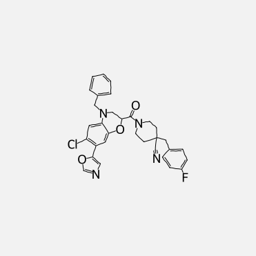 N#CC1(Cc2ccc(F)cc2)CCN(C(=O)C2CN(Cc3ccccc3)c3cc(Cl)c(-c4cnco4)cc3O2)CC1